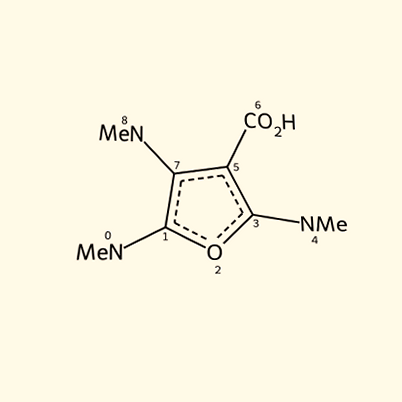 CNc1oc(NC)c(C(=O)O)c1NC